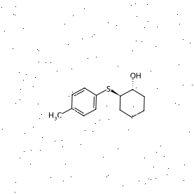 Cc1ccc(S[C@@H]2CCCC[C@H]2O)cc1